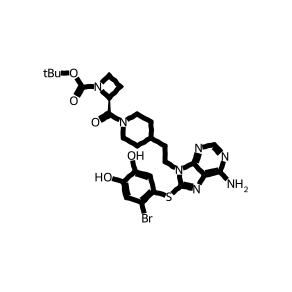 CC(C)(C)OC(=O)N1CC[C@H]1C(=O)N1CCC(CCn2c(Sc3cc(O)c(O)cc3Br)nc3c(N)ncnc32)CC1